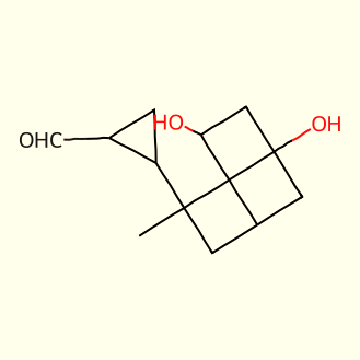 CC1(C2CC2C=O)CC2CC3(O)CC(O)C231